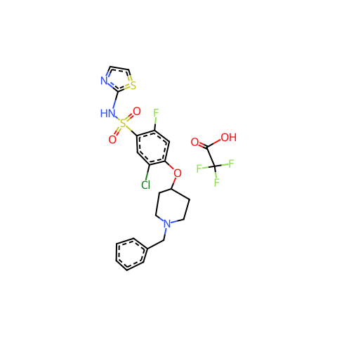 O=C(O)C(F)(F)F.O=S(=O)(Nc1nccs1)c1cc(Cl)c(OC2CCN(Cc3ccccc3)CC2)cc1F